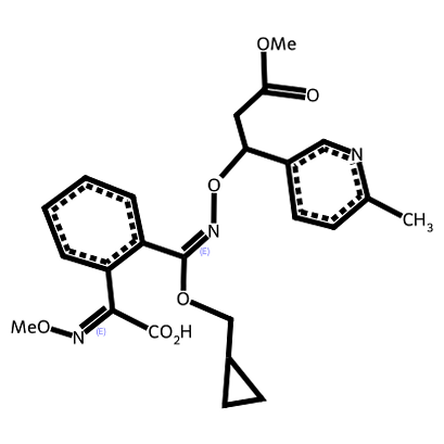 CO/N=C(/C(=O)O)c1ccccc1/C(=N\OC(CC(=O)OC)c1ccc(C)nc1)OCC1CC1